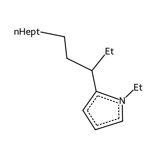 CCCCCCCCCC(CC)c1cccn1CC